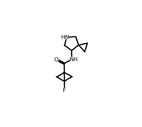 O=C(NC1CNCC12CC2)C12CC1(F)C2